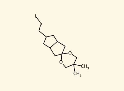 CC1(C)COC2(CC3CC(CSI)CC3C2)OC1